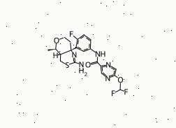 C[C@H]1OCC[C@]2(c3cc(NC(=O)c4cnc(OC(F)F)cn4)ccc3F)N=C(N)SC[C@H]12